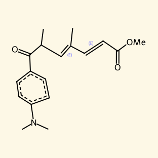 COC(=O)/C=C/C(C)=C/C(C)C(=O)c1ccc(N(C)C)cc1